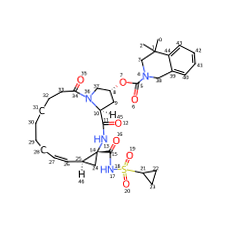 CC1(C)CN(C(=O)O[C@@H]2C[C@H]3C(=O)N[C@]4(C(=O)NS(=O)(=O)C5CC5)C[C@H]4/C=C\CCCCCCC(=O)N3C2)Cc2ccccc21